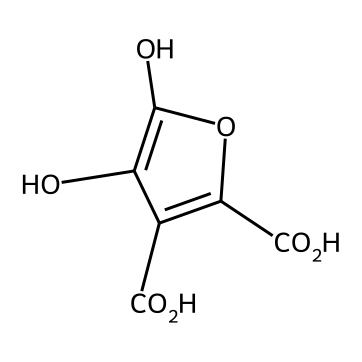 O=C(O)c1oc(O)c(O)c1C(=O)O